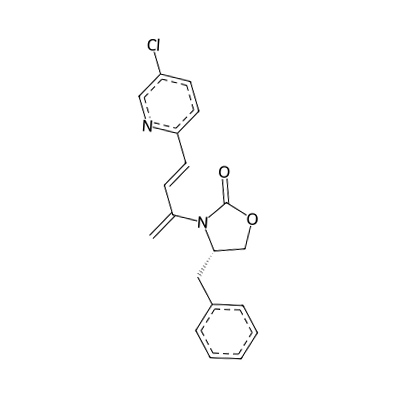 C=C(/C=C/c1ccc(Cl)cn1)N1C(=O)OC[C@@H]1Cc1ccccc1